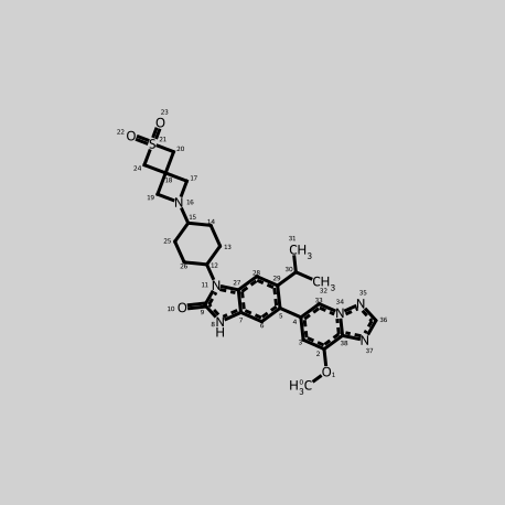 COc1cc(-c2cc3[nH]c(=O)n(C4CCC(N5CC6(C5)CS(=O)(=O)C6)CC4)c3cc2C(C)C)cn2ncnc12